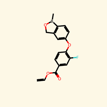 C=COC(=O)c1ccc(Oc2ccc3c(c2)COB3C)c(F)c1